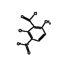 Cc1ccc([N+](=O)[O-])c(Cl)c1C(=O)Cl